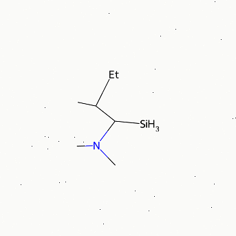 CCC(C)C([SiH3])N(C)C